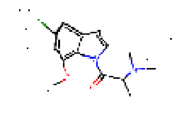 COc1cc(F)cc2ccn(C(=O)C(C)N(C)C)c12